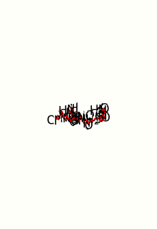 CC1(C)CCC(CN2CCN(c3ccc(C(=O)NS(=O)(=O)c4ccc(NCC5CCN(C(=O)CCCCCCSc6cccc7c6CN(C6CCC(=O)NC6=O)C7=O)CC5)c([N+](=O)[O-])c4)c(Oc4cnc5[nH]ccc5c4)c3)CC2)=C(c2ccc(Cl)cc2)C1